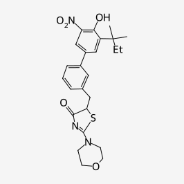 CCC(C)(C)c1cc(-c2cccc(CC3SC(N4CCOCC4)=NC3=O)c2)cc([N+](=O)[O-])c1O